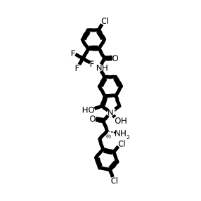 N[C@H](Cc1ccc(Cl)cc1Cl)C(=O)[N+]1(O)CC2C=CC(NC(=O)c3cc(Cl)ccc3C(F)(F)F)=CC2=C1O